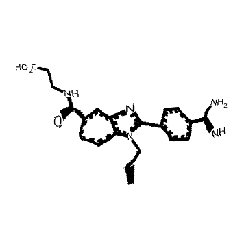 C=CCn1c(-c2ccc(C(=N)N)cc2)nc2cc(C(=O)NCCC(=O)O)ccc21